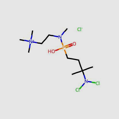 CN(CC[N+](C)(C)C)P(=O)(O)CCC(C)(C)N(Cl)Cl.[Cl-]